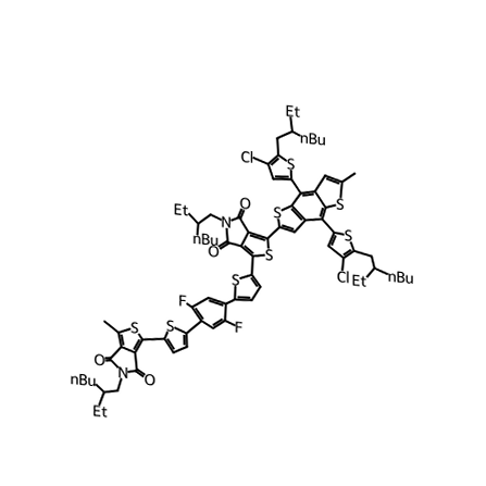 CCCCC(CC)Cc1sc(-c2c3cc(-c4sc(-c5ccc(-c6cc(F)c(-c7ccc(-c8sc(C)c9c8C(=O)N(CC(CC)CCCC)C9=O)s7)cc6F)s5)c5c4C(=O)N(CC(CC)CCCC)C5=O)sc3c(-c3cc(Cl)c(CC(CC)CCCC)s3)c3cc(C)sc23)cc1Cl